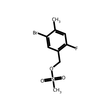 Cc1cc(F)c(COS(C)(=O)=O)cc1Br